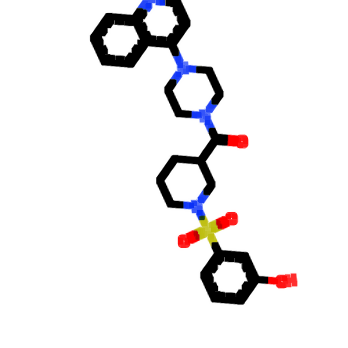 O=C(C1CCCN(S(=O)(=O)c2cccc(O)c2)C1)N1CCN(c2ccnc3ccccc23)CC1